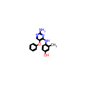 Cc1cc(O)ccc1Nc1nc(N)ncc1Oc1ccccc1